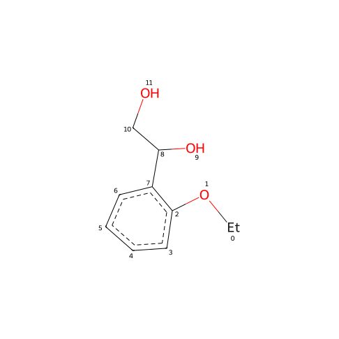 CCOc1ccccc1C(O)CO